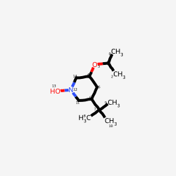 CC(C)OC1CC(C(C)(C)C)CN(O)C1